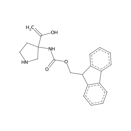 C=C(O)C1(NC(=O)OCC2c3ccccc3-c3ccccc32)CCNC1